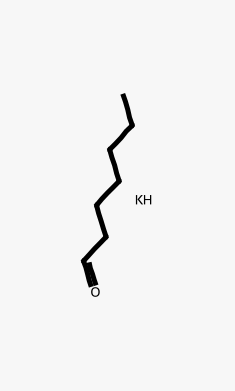 CCCCCCC=O.[KH]